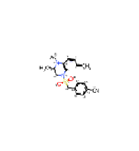 C=C/C=C\C1=CN(S(=O)(=O)Cc2ccc(C#N)cc2)CC(C)N1C(C)=O